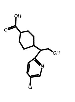 O=C(O)C1CCC(C(CO)c2ccc(Cl)cn2)CC1